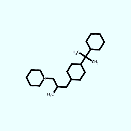 CC(CC1CCC(C(C)(C)C2CCCCC2)CC1)CN1CCCCC1